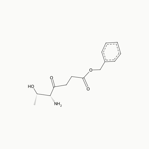 C[C@H](O)[C@@H](N)C(=O)CCC(=O)OCc1ccccc1